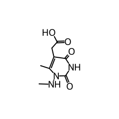 CNn1c(C)c(CC(=O)O)c(=O)[nH]c1=O